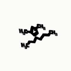 CC=CCCCCC.Cc1ccn(C)c1